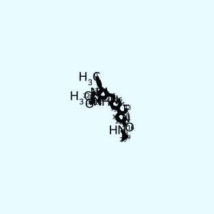 CC#Cc1cc(CN2CC=C(c3ccc(C(=O)NC4CC4)nc3F)CC2)cc2[nH]c(=O)c(C)nc12